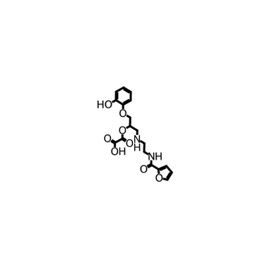 O=C(O)C(=O)OC(CNCCNC(=O)c1ccco1)COc1ccccc1O